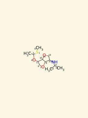 CSC(C)OC1COC2C(NC(C)C)COC12